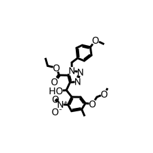 CCOC(=O)c1c(C(O)c2cc(OCOC)c(C)cc2[N+](=O)[O-])nnn1Cc1ccc(OC)cc1